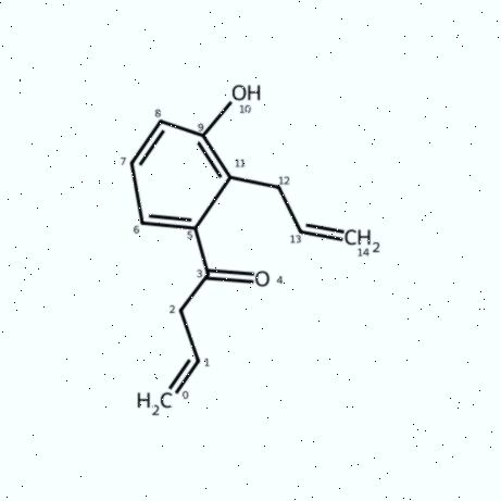 C=CCC(=O)c1cccc(O)c1CC=C